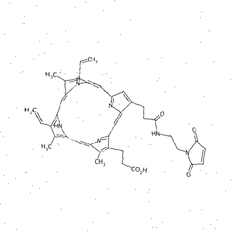 C=Cc1c(C)c2cc3[nH]c(cc4nc(cc5nc(cc1[nH]2)C=C5CCC(=O)NCCN1C(=O)C=CC1=O)C(CCC(=O)O)=C4C)c(C)c3C=C